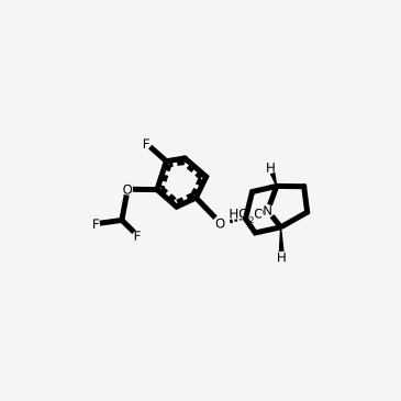 O=C(O)N1[C@@H]2CC[C@H]1C[C@@H](Oc1ccc(F)c(OC(F)F)c1)C2